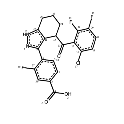 O=C(O)c1ccc(-c2n[nH]c3c2C(C(=O)c2c(Cl)ccc(F)c2F)CCC3)c(F)c1